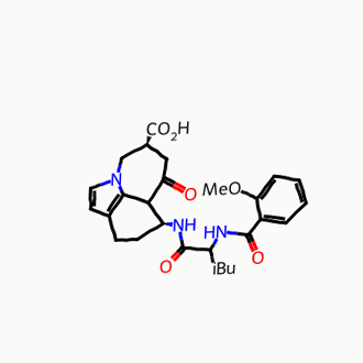 CCC(C)C(NC(=O)c1ccccc1OC)C(=O)N[C@H]1CCc2ccn3c2C1C(=O)C[C@H](C(=O)O)C3